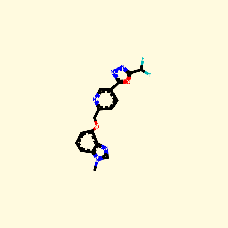 Cn1cnc2c(OCc3ccc(-c4nnc(C(F)F)o4)cn3)cccc21